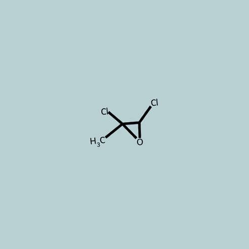 CC1(Cl)OC1Cl